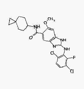 COc1cc2[nH]c(Nc3c(Cl)ccc(Cl)c3F)nc2cc1C(=O)NC1CCC2(CC1)CC2